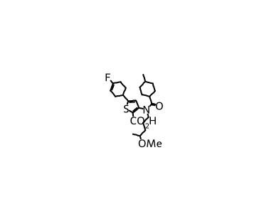 COC(C)CCCN(C(=O)C1CCC(C)CC1)c1cc(C2CC=C(F)CC2)sc1C(=O)O